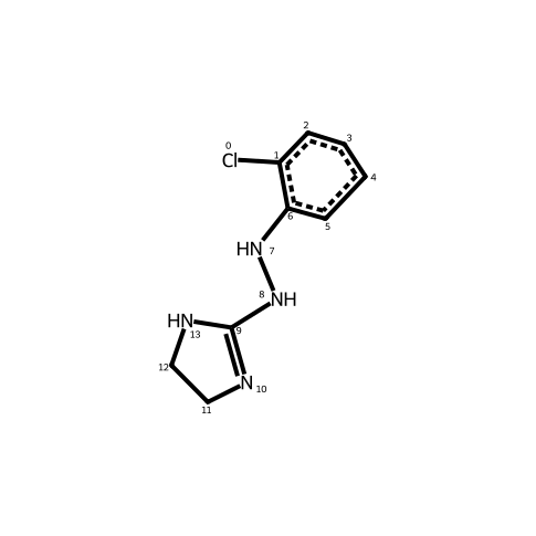 Clc1ccccc1NNC1=NCCN1